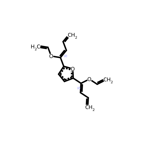 C=C/C=C(\OC=C)c1ccc(/C(=C/C=C)OC=C)o1